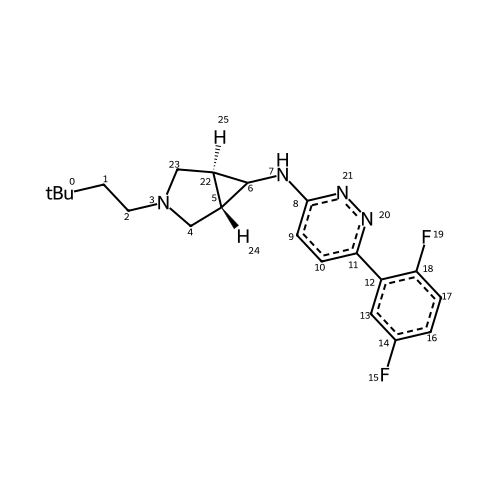 CC(C)(C)CCN1C[C@H]2C(Nc3ccc(-c4cc(F)ccc4F)nn3)[C@@H]2C1